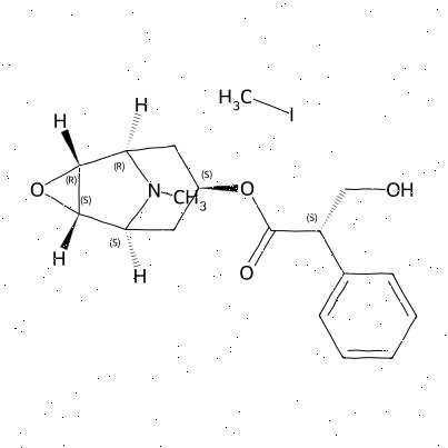 CI.CN1[C@@H]2C[C@@H](OC(=O)[C@H](CO)c3ccccc3)C[C@H]1[C@@H]1O[C@@H]12